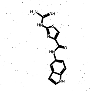 N=C(N)Nc1nc(C(=O)Nc2ccc3[nH]ccc3c2)cs1